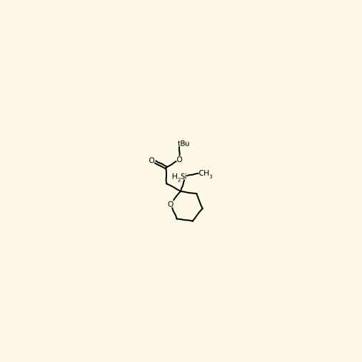 C[SiH2]C1(CC(=O)OC(C)(C)C)CCCCO1